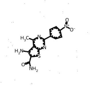 Cc1nc(-c2ccc([N+](=O)[O-])cc2)nc2sc(C(N)=O)c(N)c12